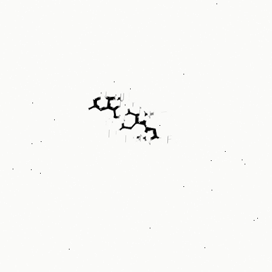 CCC1Cc2c(nn(C)c2-c2cc(C(F)(F)F)nn2C)C(CC)N1C(=O)c1n[nH]c2ncc(F)cc12